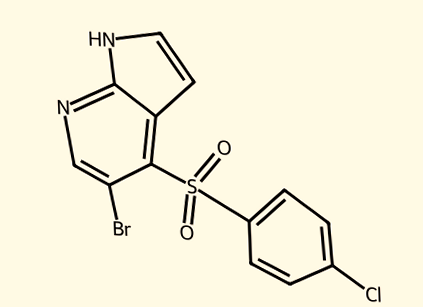 O=S(=O)(c1ccc(Cl)cc1)c1c(Br)cnc2[nH]ccc12